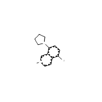 Nc1ccc(N2CCCC2)c2c[n+]([O-])ccc12